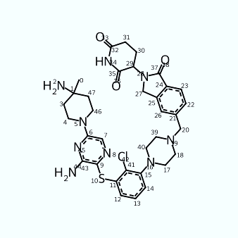 CC1(N)CCN(c2cnc(Sc3cccc(N4CCN(Cc5ccc6c(c5)CN(C5CCC(=O)NC5=O)C6=O)CC4)c3Cl)c(N)n2)CC1